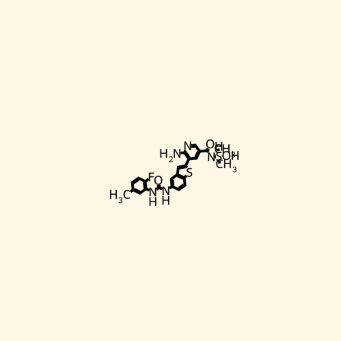 Cc1ccc(F)c(NC(=O)Nc2ccc3sc(-c4cc(C(=O)N=[SH](C)(C)O)cnc4N)cc3c2)c1